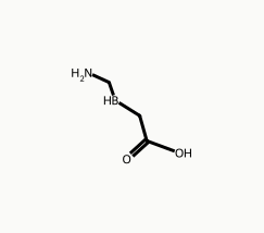 NCBCC(=O)O